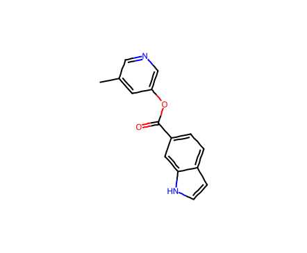 Cc1cncc(OC(=O)c2ccc3cc[nH]c3c2)c1